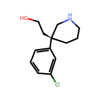 OCC[C@]1(c2cccc(Cl)c2)CCCNC1